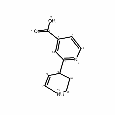 O=C(O)c1ccnc(C2C=CNCC2)c1